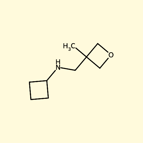 CC1(CNC2CCC2)COC1